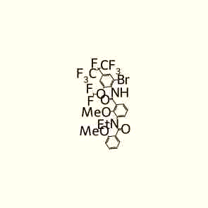 CCN(C(=O)c1ccccc1OC)c1cccc(C(=O)Nc2c(Br)cc(C(F)(C(F)(F)F)C(F)(F)F)cc2OC(F)F)c1OC